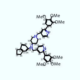 COc1cc(-c2cc(CN3CCC(N(Cc4ccnc(-c5cc(OC)c(OC)c(OC)c5)c4)c4ccc5c(c4)CCC5)CC3)ccn2)cc(OC)c1OC